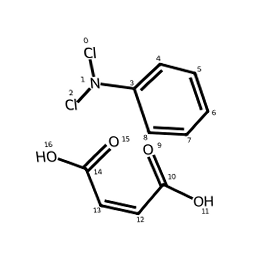 ClN(Cl)c1ccccc1.O=C(O)/C=C\C(=O)O